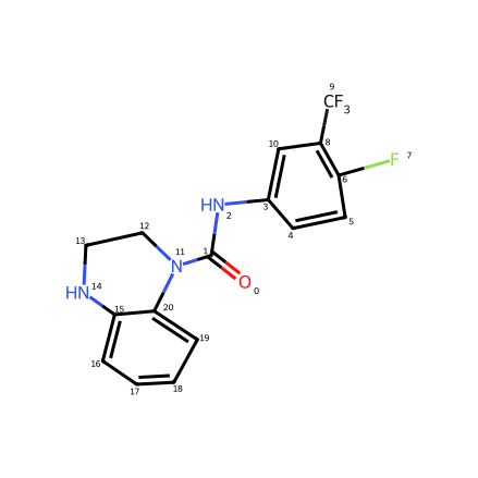 O=C(Nc1ccc(F)c(C(F)(F)F)c1)N1CCNc2ccccc21